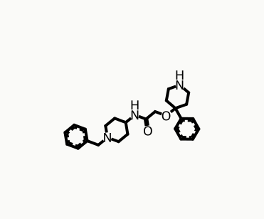 O=C(COC1(c2ccccc2)CCNCC1)NC1CCN(Cc2ccccc2)CC1